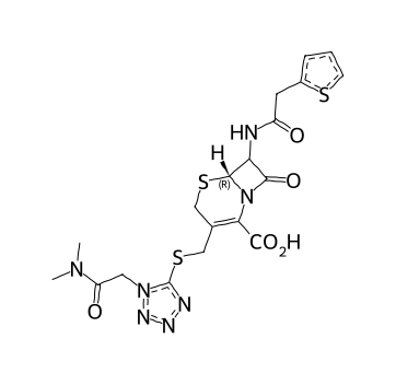 CN(C)C(=O)Cn1nnnc1SCC1=C(C(=O)O)N2C(=O)C(NC(=O)Cc3cccs3)[C@H]2SC1